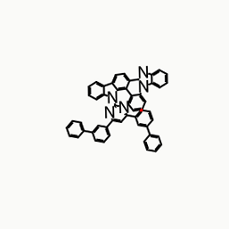 c1ccc(-c2cccc(-c3cc(-c4cccc(-c5ccccc5)c4)nc(-n4c5ccccc5c5ccc6c(c7ccccc7n7c8ccccc8nc67)c54)n3)c2)cc1